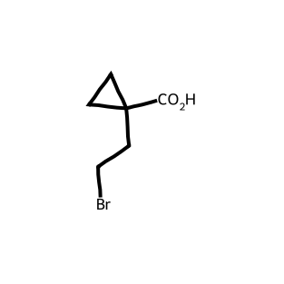 O=C(O)C1(CCBr)CC1